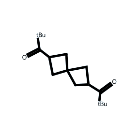 CC(C)(C)C(=O)C1CC2(C1)CC(C(=O)C(C)(C)C)C2